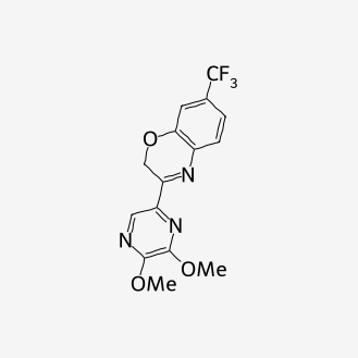 COc1ncc(C2=Nc3ccc(C(F)(F)F)cc3OC2)nc1OC